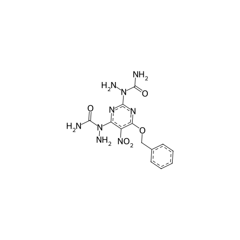 NC(=O)N(N)c1nc(OCc2ccccc2)c([N+](=O)[O-])c(N(N)C(N)=O)n1